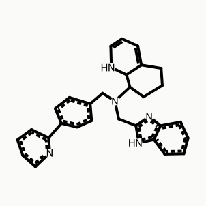 C1=CNC2C(=C1)CCCC2N(Cc1ccc(-c2ccccn2)cc1)Cc1nc2ccccc2[nH]1